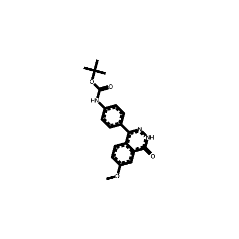 COc1ccc2c(-c3ccc(NC(=O)OC(C)(C)C)cc3)n[nH]c(=O)c2c1